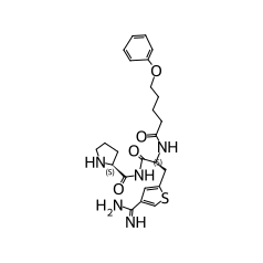 N=C(N)c1csc(C[C@H](NC(=O)CCCCOc2ccccc2)C(=O)NC(=O)[C@@H]2CCCN2)c1